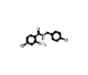 Nc1cc(Cl)ccc1C(=O)NCc1ccc(Cl)cc1